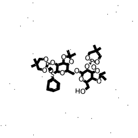 CC1(C)COP(=O)(OC2C(OCC3OC(Sc4ccccc4)C(OP4(=O)OCC(C)(C)CO4)C4OC(C)(C)OC34)OC(CO)C3OC(C)(C)OC32)OC1